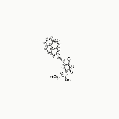 O=c1[nH]c(=O)n([C@@H]2CC(O)[C@H](CO)O2)cc1C#Cc1cc2ccc3cccc4ccc(c1)c2c34